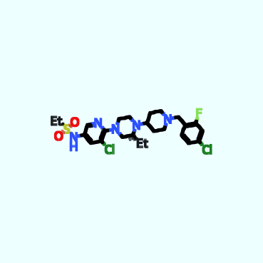 CC[C@H]1CN(c2ncc(NS(=O)(=O)CC)cc2Cl)CCN1C1CCN(Cc2ccc(Cl)cc2F)CC1